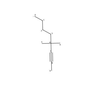 [CH2]CCCC(C)(C)C#CC